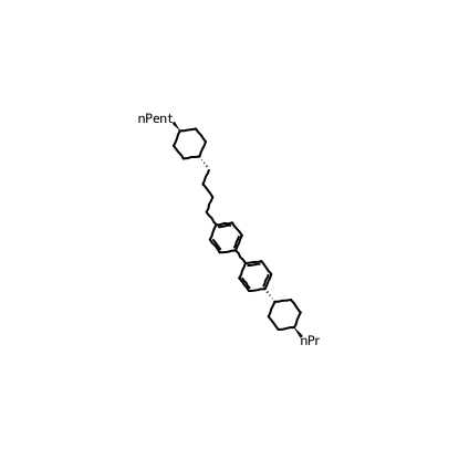 CCCCC[C@H]1CC[C@H](CCCCc2ccc(-c3ccc([C@H]4CC[C@H](CCC)CC4)cc3)cc2)CC1